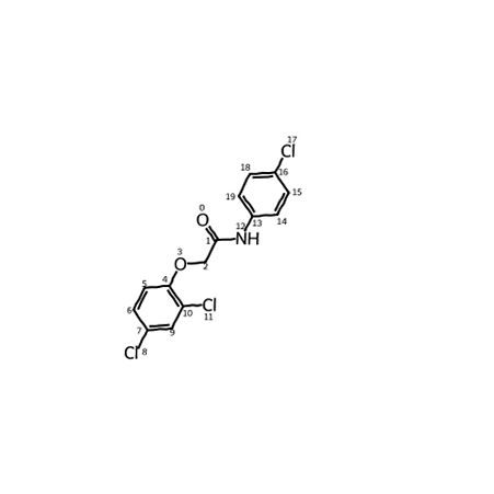 O=C(COc1ccc(Cl)cc1Cl)Nc1ccc(Cl)cc1